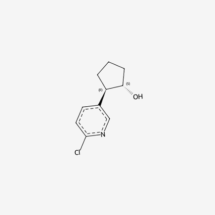 O[C@H]1CCC[C@@H]1c1ccc(Cl)nc1